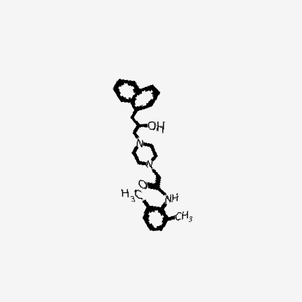 Cc1cccc(C)c1NC(=O)CN1CCN(CC(O)Cc2cccc3ccccc23)CC1